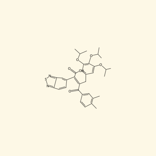 Cc1ccc(C(=O)C(Cc2cc(OC(C)C)c(OC(C)C)c(OC(C)C)c2)=C(C(=O)O)c2ccc3nsnc3c2)cc1C